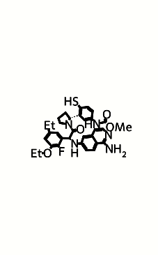 CCOc1cc(CC)cc([C@@H](Nc2ccc3c(N)nccc3c2)C(=O)N2CCC[C@@H]2c2cc(NC(=O)OC)ccc2S)c1F